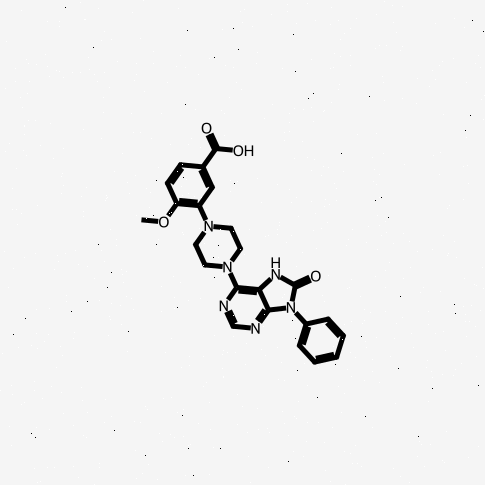 COc1ccc(C(=O)O)cc1N1CCN(c2ncnc3c2[nH]c(=O)n3-c2ccccc2)CC1